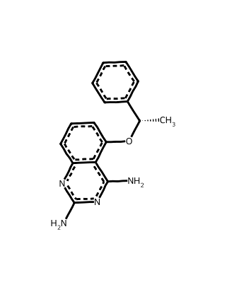 C[C@H](Oc1cccc2nc(N)nc(N)c12)c1ccccc1